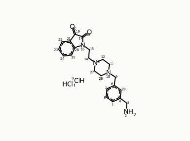 Cl.Cl.NCc1cccc(CN2CCN(CCN3C(=O)C(=O)c4ccccc43)CC2)c1